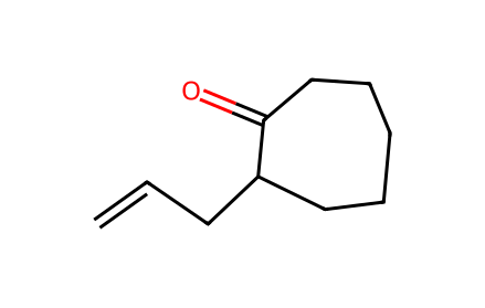 C=CCC1CCCCCC1=O